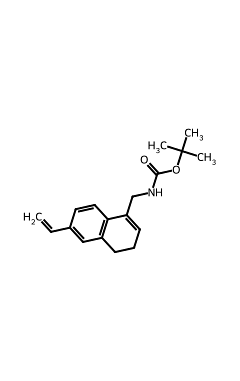 C=Cc1ccc2c(c1)CCC=C2CNC(=O)OC(C)(C)C